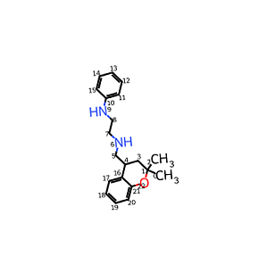 CC1(C)CC(CNCCNc2ccccc2)c2ccccc2O1